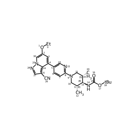 CCOc1cc(-c2ccc(N3C[C@@H](C)[C@H](NC(=O)OC(C)(C)C)[C@@H](C)C3)nc2)c2c(C#N)cnn2c1